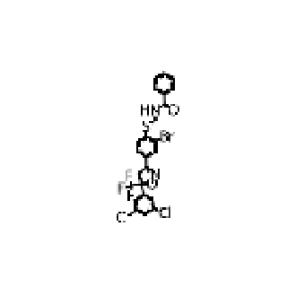 O=C(NCSc1ccc(C2=NOC(c3cc(Cl)cc(Cl)c3)(C(F)(F)F)C2)cc1Br)c1ccccc1